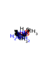 CC(C)COC(=O)Nc1cccc(COc2nc3c(C4CC4)cccc3n2/C(=N/N)N(C)N)n1